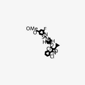 COC(=O)c1cc(F)c2nc(N3C[C@H]4C[C@@H]3C[C@H]4OCc3c(-c4c(Cl)cccc4Cl)noc3C3CC3)sc2c1